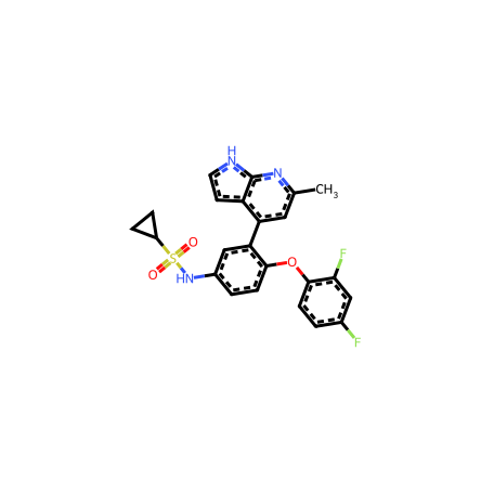 Cc1cc(-c2cc(NS(=O)(=O)C3CC3)ccc2Oc2ccc(F)cc2F)c2cc[nH]c2n1